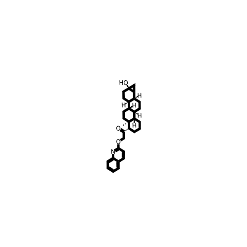 C[C@]12CC[C@@H]3[C@H]4CC[C@]5(O)CC5[C@H]4CC[C@H]3[C@@H]1CCC[C@@H]2C(=O)COc1ccc2ccccc2n1